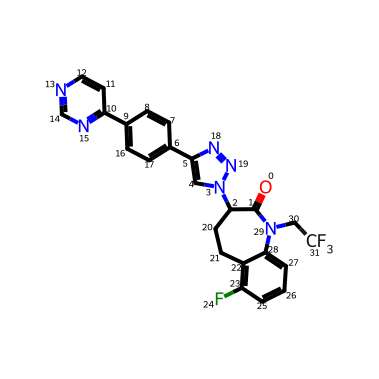 O=C1C(n2cc(-c3ccc(-c4ccncn4)cc3)nn2)CCc2c(F)cccc2N1CC(F)(F)F